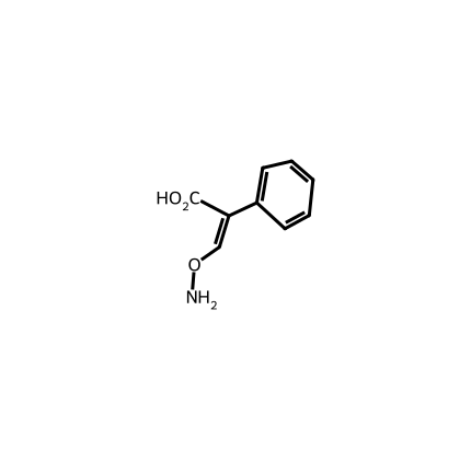 NOC=C(C(=O)O)c1ccccc1